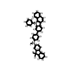 CN(C1=CC2C(C=C1)c1ccccc1C2(C)C)c1ccc(-c2ccc3c4ccc5ccccc5c4n(-c4ccccc4)c3c2)cc1